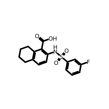 O=C(O)c1c(NS(=O)(=O)c2cccc(F)c2)ccc2c1CCCC2